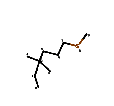 CCC(C)(C)CCCSC